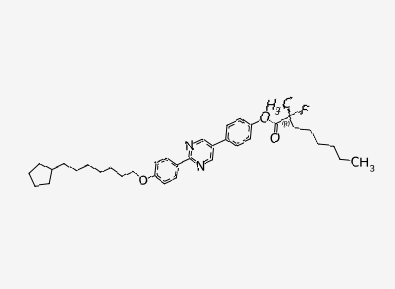 CCCCCC[C@@](C)(F)C(=O)Oc1ccc(-c2cnc(-c3ccc(OCCCCCCCC4CCCC4)cc3)nc2)cc1